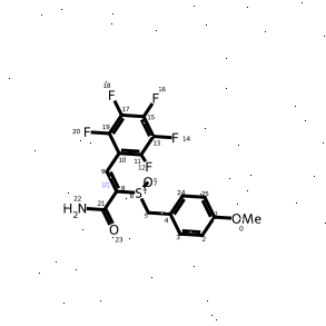 COc1ccc(C[S+]([O-])/C(=C\c2c(F)c(F)c(F)c(F)c2F)C(N)=O)cc1